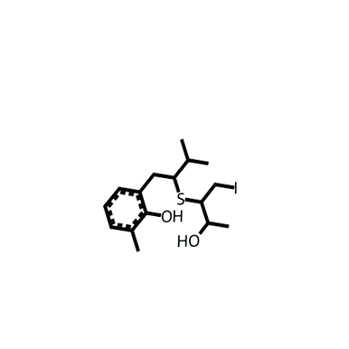 Cc1cccc(CC(SC(CI)C(C)O)C(C)C)c1O